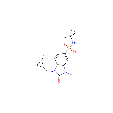 CC1CC1Cn1c(=O)n(C)c2cc(S(=O)(=O)NC3(C)CC3)ccc21